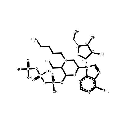 NCCCCN1CC([N+]2([C@@H]3O[C@H](CO)[C@@H](O)[C@H]3O)C=Nc3c(N)ncnc32)OC(OP(=O)(O)OP(=O)(O)OP(=O)(O)O)C1CO